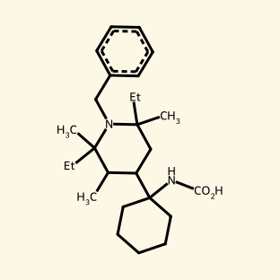 CCC1(C)CC(C2(NC(=O)O)CCCCC2)C(C)C(C)(CC)N1Cc1ccccc1